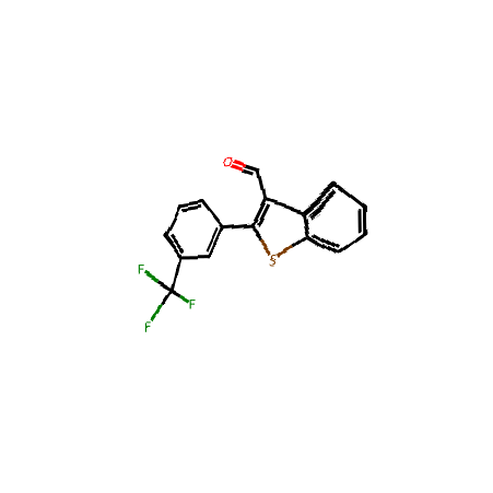 O=Cc1c(-c2cccc(C(F)(F)F)c2)sc2ccccc12